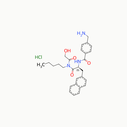 CCCCCN(C(=O)CO)C(=O)[C@H](Cc1ccc2ccccc2c1)NC(=O)c1ccc(CN)cc1.Cl